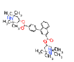 CC1(C)CC(OC(=O)c2ccc(-c3cc(C(=O)OC4CC(C)(C)NC(C)(C)C4)cc4ccccc34)cc2)CC(C)(C)N1